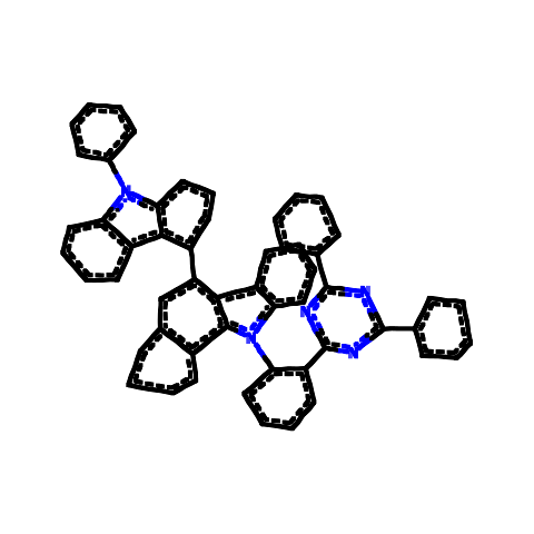 c1ccc(-c2nc(-c3ccccc3)nc(-c3ccccc3-n3c4ccccc4c4c(-c5cccc6c5c5ccccc5n6-c5ccccc5)cc5ccccc5c43)n2)cc1